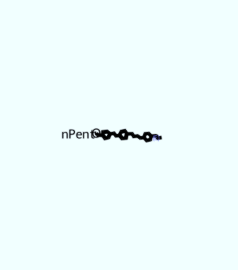 C/C=C/C1CCC(CCCCc2ccc(CCc3ccc(COCCCCC)cc3)cc2)CC1